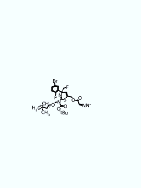 CC(C)(C)OC(=O)N(COCC[Si](C)(C)C)C1=N[C@](CF)(c2cc(Br)ccc2F)C=C(COC(=O)C=[N+]=[N-])S1